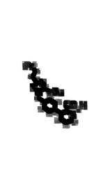 CCCCc1nc(CCC(C)C)nn1Cc1ccc(-c2cccnc2C(=O)O)cc1